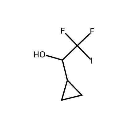 OC(C1CC1)C(F)(F)I